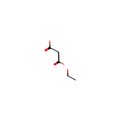 CCOC(=O)CC(=O)[O-].[Cs+]